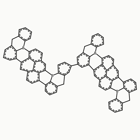 c1ccc2c(c1)Cc1cccc3c1B2c1ccc2cc4c5c(ccc6cc-3c1c2c65)-c1cccc2c1B4c1ccc(-c3cc4c5c(c3)-c3cc6ccc7c8c(cc9ccc(c3c9c68)B5c3ccccc3C4)-c3cccc4c3B7c3ccccc3C4)cc1C2